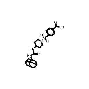 O=C(NC1CCN(S(=O)(=O)c2ccc(C(=O)O)cc2)CC1)NC12CC3CC(CC(C3)C1)C2